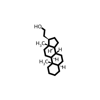 C[C@]12CCCC[C@@H]1CC[C@@H]1[C@@H]2CC[C@]2(C)[C@@H](CCO)CC[C@@H]12